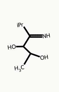 CC(C)C(=N)C(O)C(C)O